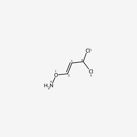 NOC=CC(Cl)Cl